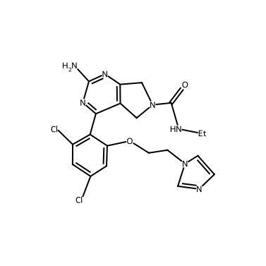 CCNC(=O)N1Cc2nc(N)nc(-c3c(Cl)cc(Cl)cc3OCCn3ccnc3)c2C1